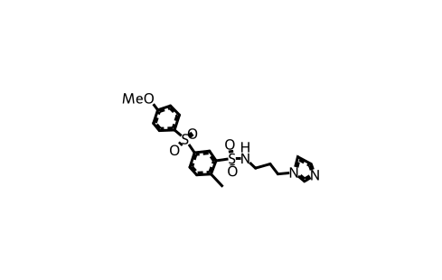 COc1ccc(S(=O)(=O)c2ccc(C)c(S(=O)(=O)NCCCn3ccnc3)c2)cc1